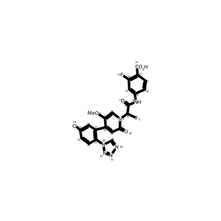 COc1cn(C(F)C(=O)Nc2ccc(C(=O)O)c(F)c2)c(=O)cc1-c1cc(Cl)ccc1-n1cnnn1